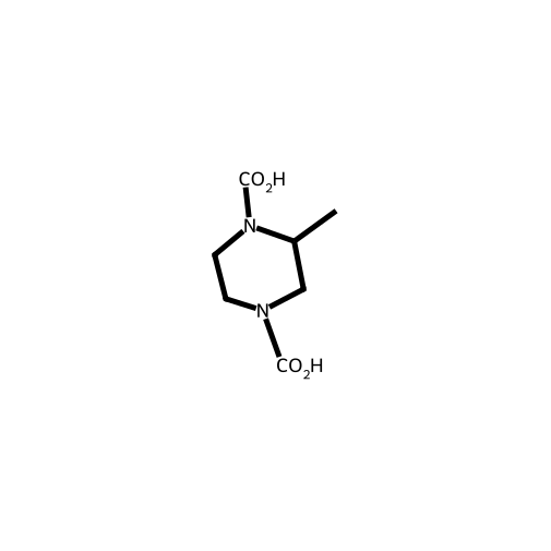 CC1CN(C(=O)O)CCN1C(=O)O